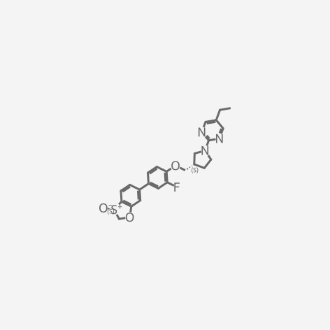 CCc1cnc(N2CC[C@H](COc3ccc(-c4ccc5c(c4)OC[S@+]5[O-])cc3F)C2)nc1